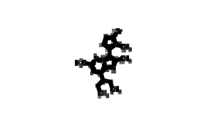 CCC(CC)c1cc(C)nn2c(-c3ccc(Br)n3C)c(C)nc12